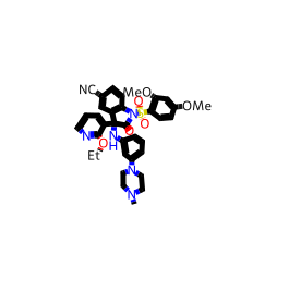 CCOc1ncccc1C1(Nc2cccc(N3CCN(C)CC3)c2)C(=O)N(S(=O)(=O)c2ccc(OC)cc2OC)c2ccc(C#N)cc21